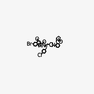 O=C(N[C@@H](C=C1CCN(c2ccccc2CN2CCCC2=O)CC1)Cc1ccc(Cl)cc1)c1cc(=O)c2cc(Br)ccc2o1